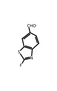 O=[C]c1ccc2nc(F)sc2c1